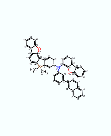 CS1(C)c2cc(N(c3cccc(-c4ccc5ccccc5c4)c3)c3cccc4c3oc3ccccc34)ccc2-c2c1ccc1c2oc2ccccc21